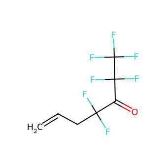 C=CCC(F)(F)C(=O)C(F)(F)C(F)(F)F